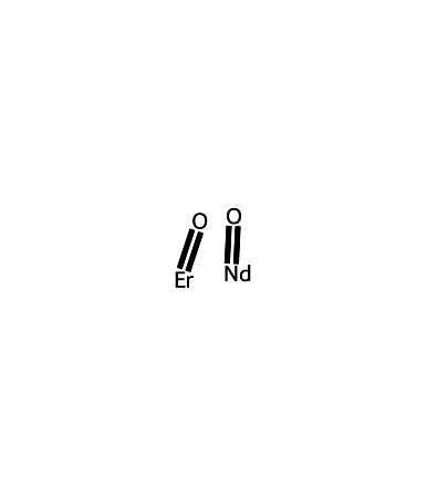 [O]=[Er].[O]=[Nd]